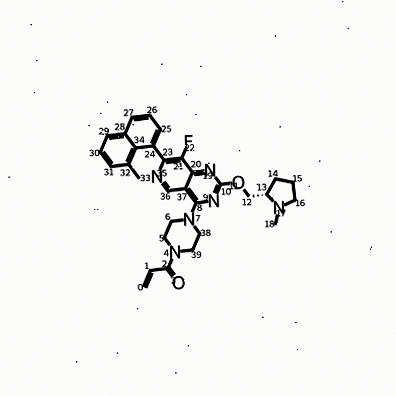 C=CC(=O)N1CCN(c2nc(OC[C@@H]3CCCN3C)nc3c(F)c(-c4cccc5cccc(C)c45)ncc23)CC1